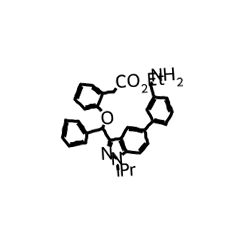 CCOC(=O)Cc1ccccc1OC(c1ccccc1)c1nn(C(C)C)c2ccc(-c3cccc(CN)c3)cc12